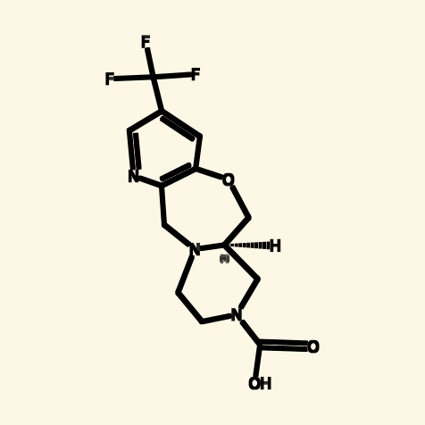 O=C(O)N1CCN2Cc3ncc(C(F)(F)F)cc3OC[C@H]2C1